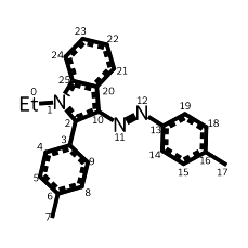 CCn1c(-c2ccc(C)cc2)c(N=Nc2ccc(C)cc2)c2ccccc21